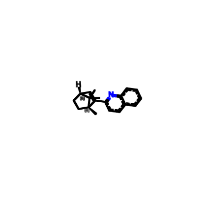 CC1(C)[C@H]2C=C(c3ccc4ccccc4n3)[C@]1(C)CC2